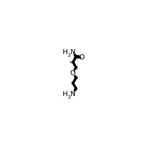 NCCCOCCC(N)=O